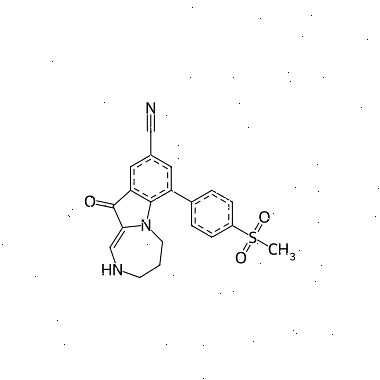 CS(=O)(=O)c1ccc(-c2cc(C#N)cc3c2N2CCCNC=C2C3=O)cc1